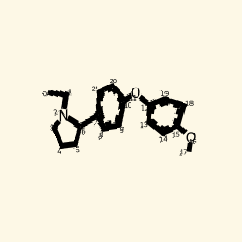 CCN1CCCC1c1ccc(Oc2ccc(OC)cc2)cc1